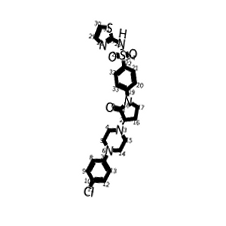 O=C1[C@@H](N2CCN(c3ccc(Cl)cc3)CC2)CCN1c1ccc(S(=O)(=O)Nc2nccs2)cc1